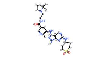 Cc1ncc(C(=O)NCCN2CCCC2(C)C)cc1Nc1nn(C)c2nc(NC3CCS(=O)(=O)CC3)ncc12